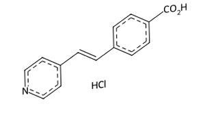 Cl.O=C(O)c1ccc(C=Cc2ccncc2)cc1